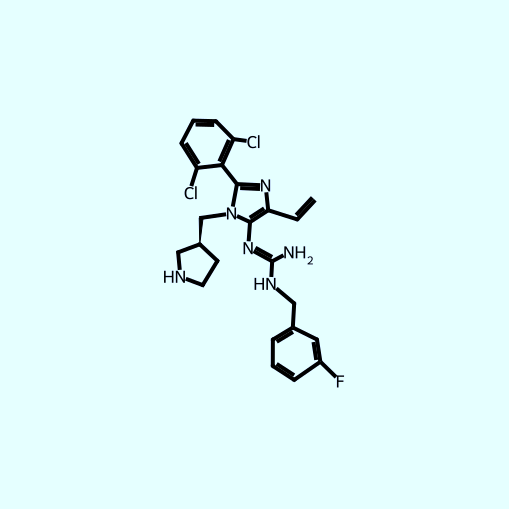 C=Cc1nc(-c2c(Cl)cccc2Cl)n(C[C@H]2CCNC2)c1/N=C(\N)NCc1cccc(F)c1